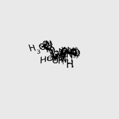 Cc1cc(OC[C@H]2O[C@@H](n3cnc4c(NC5CCOC5)ncnc43)[C@@H](O)[C@H]2O)no1